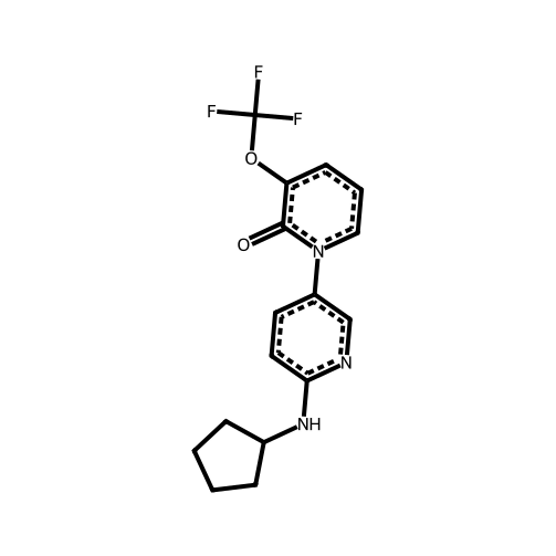 O=c1c(OC(F)(F)F)cccn1-c1ccc(NC2CCCC2)nc1